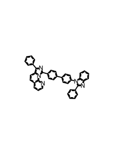 c1ccc(-c2nc(-c3ccc(-c4ccc(-n5c(-c6ccccc6)nc6ccccc65)cc4)cc3)n3c2ccc2cccnc23)cc1